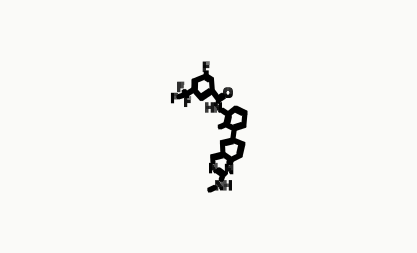 CNc1ncc2cc(-c3cccc(NC(=O)c4cc(F)cc(C(F)(F)F)c4)c3C)ccc2n1